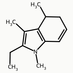 CCc1c(C)c2c(n1C)C=CCC2C